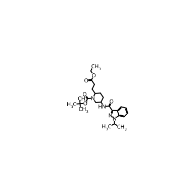 CCOC(=O)CCC1CCC(NC(=O)c2nn(C(C)C)c3ccccc23)CN1C(=O)OC(C)(C)C